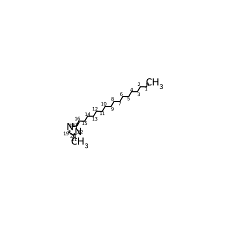 CCCCCCCCCCCCCCCCC=C1N=CC(C)=N1